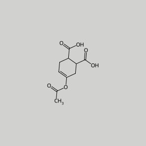 CC(=O)OC1=CCC(C(=O)O)C(C(=O)O)C1